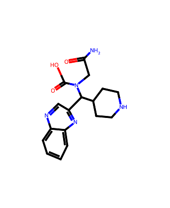 NC(=O)CN(C(=O)O)C(c1cnc2ccccc2n1)C1CCNCC1